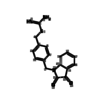 N=C(N)SCc1ccc(CN2C(=O)C(=O)c3ccccc32)cc1